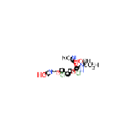 C[C@@H](O)[C@H](NCc1cc(Cl)c(O[C@H]2CCc3c(-c4cccc(OCCCN5CCC(O)CC5)c4Cl)cccc32)cc1OCc1cncc(C#N)c1)C(=O)O